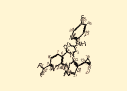 O=C(Cn1c(=O)c2ccc(C(F)F)nc2n2ncc(C3CC3)c12)Nc1ccc(F)cn1